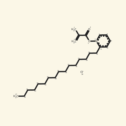 C=C(C)C(=O)O[n+]1ccccc1CCCCCCCCCCCCCCCC.[Cl-]